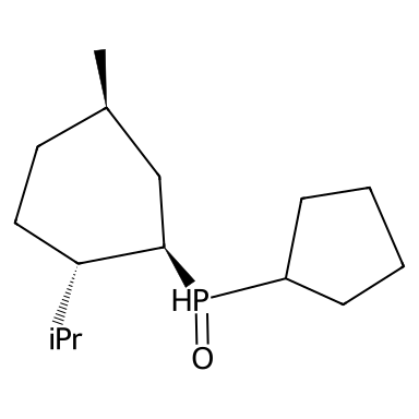 CC(C)[C@@H]1CC[C@@H](C)C[C@H]1[PH](=O)C1CCCC1